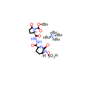 CC(C)(C)OC(=O)N1C(=O)CC[C@@H]1C(=O)NNC(=O)[C@@H]1CC[C@@H]2CN1C(=O)N2OS(=O)(=O)O.CCCC[N+](CCCC)(CCCC)CCCC